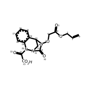 C=CCOC(=O)CON1C(=O)N2CC1c1ccccc1N2C(=O)C(=O)O